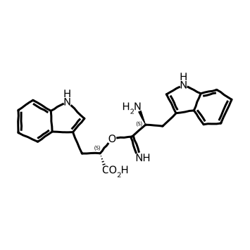 N=C(O[C@@H](Cc1c[nH]c2ccccc12)C(=O)O)[C@@H](N)Cc1c[nH]c2ccccc12